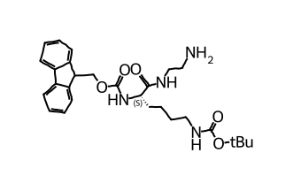 CC(C)(C)OC(=O)NCCCC[C@H](NC(=O)OCC1c2ccccc2-c2ccccc21)C(=O)NCCN